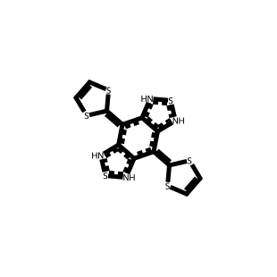 C1=CSC(=c2c3[nH]s[nH]c3c(=C3SC=CS3)c3[nH]s[nH]c23)S1